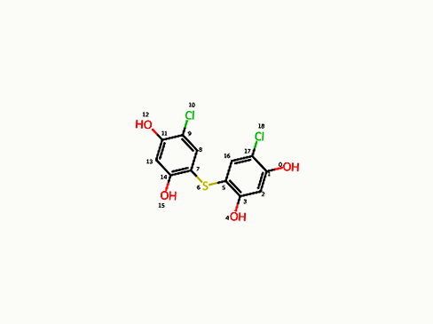 Oc1cc(O)c(Sc2cc(Cl)c(O)cc2O)cc1Cl